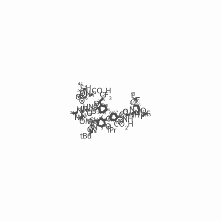 CC(C)Oc1cc(-n2nc(C(C)(C)C)oc2=O)c(Cl)cc1Cl.COc1nc(C)nc(NC(=O)NS(=O)(=O)c2ccccc2CCC(F)(F)F)n1.C[S+](C)C.O=C(Nc1nc(OC(F)F)cc(OC(F)F)n1)NS(=O)(=O)c1ccccc1C(=O)O.O=C(O)CNCP(=O)([O-])O